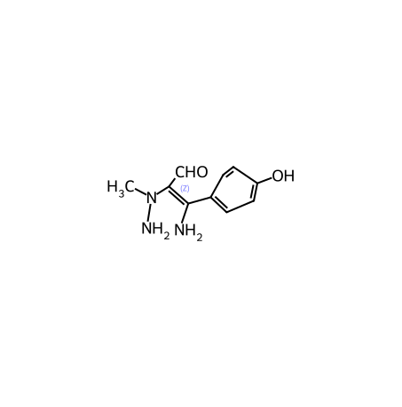 CN(N)/C(C=O)=C(\N)c1ccc(O)cc1